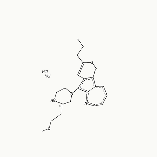 CCCC1=Cc2c(c3ccccnc-3c2N2CCN[C@@H](CCOC)C2)SS1.Cl.Cl